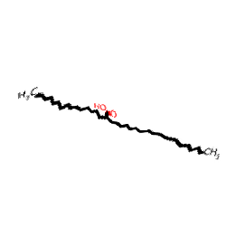 CCCCCCCCCCCCCCCC=CC=C(CCCCCCCCCCCCCCCC)C(=O)O